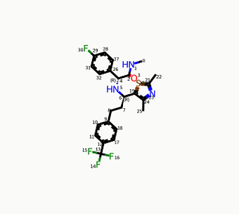 CNC(=O)[C@H](N[C@H](CCc1ccc(C(F)(F)F)cc1)c1sc(C)nc1C)c1ccc(F)cc1